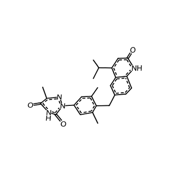 Cc1cc(-n2nc(C)c(=O)[nH]c2=O)cc(C)c1Cc1ccc2[nH]c(=O)cc(C(C)C)c2c1